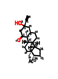 C#CC1(O)CC(=O)[C@@]2(C)C(CC[C@H]3[C@@H]4CC[C@H](C(C)=O)[C@@]4(C)CC[C@@H]32)C1